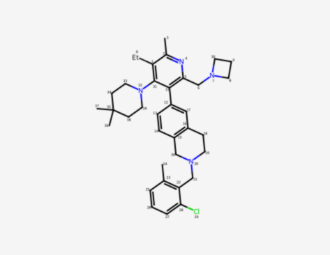 CCc1c(C)nc(CN2CCC2)c(-c2ccc3c(c2)CCN(Cc2c(C)cccc2Cl)C3)c1N1CCC(C)(C)CC1